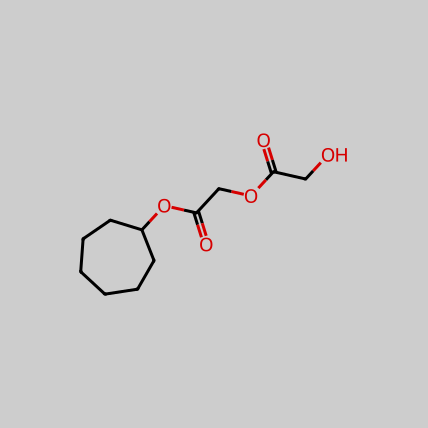 O=C(CO)OCC(=O)OC1CCCCCC1